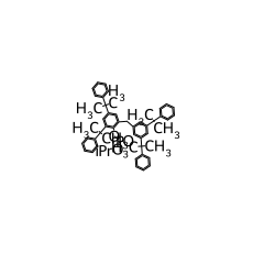 CC(C)OP1Oc2c(cc(C(C)(C)c3ccccc3)cc2C(C)(C)c2ccccc2)Cc2cc(C(C)(C)c3ccccc3)cc(C(C)(C)c3ccccc3)c2O1